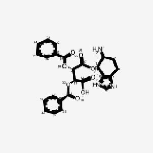 NC1CCc2nc[nH]c2C1.O=C(O[C@H](C(=O)O)[C@H](OC(=O)c1ccccc1)C(=O)O)c1ccccc1